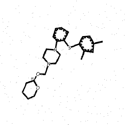 Cc1ccc(Sc2ccccc2N2CCN(CO[C@@H]3CCCCO3)CC2)c(C)c1